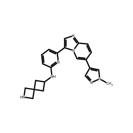 Cn1cc(-c2ccc3ncc(-c4cccc(NC5CC6(CNC6)C5)n4)n3c2)cn1